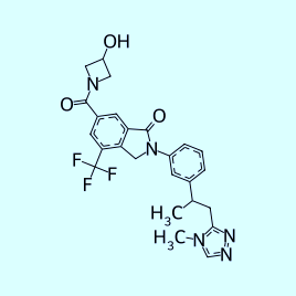 CC(Cc1nncn1C)c1cccc(N2Cc3c(cc(C(=O)N4CC(O)C4)cc3C(F)(F)F)C2=O)c1